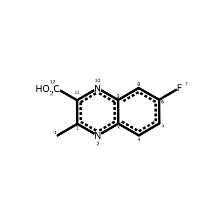 Cc1nc2ccc(F)cc2nc1C(=O)O